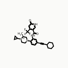 C[C@H]1CN(c2ccc(C#CC3CCCCC3)cc2NC(=O)c2c[nH]c(=O)cc2C(F)(F)F)CCN1C1CC1